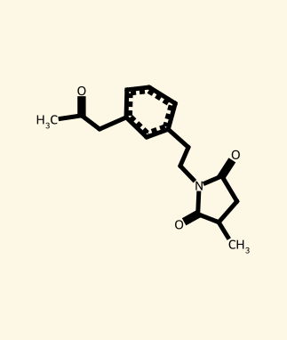 CC(=O)Cc1cccc(CCN2C(=O)CC(C)C2=O)c1